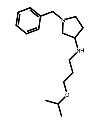 CC(C)OCCCNC1CCN(Cc2ccccc2)C1